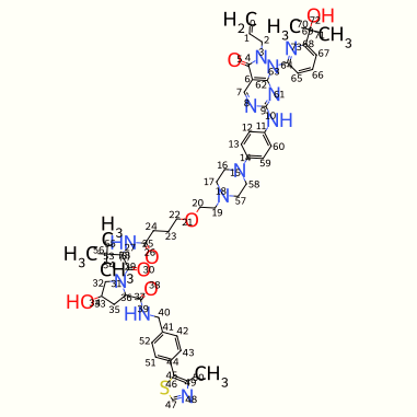 C=CCn1c(=O)c2cnc(Nc3ccc(N4CCN(CCOCCCC(=O)N[C@H](C(=O)N5CC(O)CC5C(=O)NCc5ccc(-c6scnc6C)cc5)C(C)(C)C)CC4)cc3)nc2n1-c1cccc(C(C)(C)O)n1